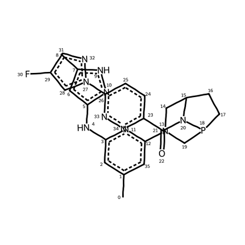 Cc1cc(Nc2cc(C)[nH]n2)nc(N2CC3CCP(C2)N3C(=O)c2ccc(-n3cc(F)cn3)nn2)c1